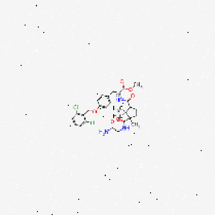 COC(=O)[C@H](Cc1ccc(OCc2c(Cl)cccc2Cl)cc1)NC(=O)C1CCC(C)(C(=O)NCC(N)=O)C1(C)C